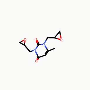 Cc1cc(=O)n(CC2CO2)c(=O)n1CC1CO1